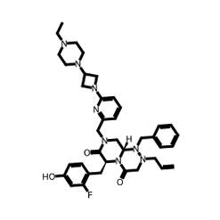 C=CCN1CC(=O)N2[C@@H](Cc3ccc(O)cc3F)C(=O)N(Cc3cccc(N4CC(N5CCN(CC)CC5)C4)n3)C[C@@H]2N1Cc1ccccc1